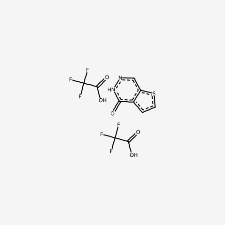 O=C(O)C(F)(F)F.O=C(O)C(F)(F)F.O=c1[nH]ncc2sccc12